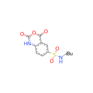 CCC(C)NS(=O)(=O)c1ccc2[nH]c(=O)oc(=O)c2c1